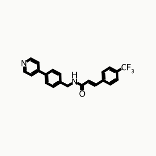 O=C(C=Cc1ccc(C(F)(F)F)cc1)NCc1ccc(-c2ccncc2)cc1